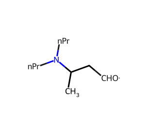 CCCN(CCC)C(C)C[C]=O